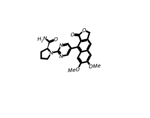 COc1cc2cc3c(c(-c4cnc(N5CCC[C@H]5C(N)=O)nc4)c2cc1OC)C(=O)OC3